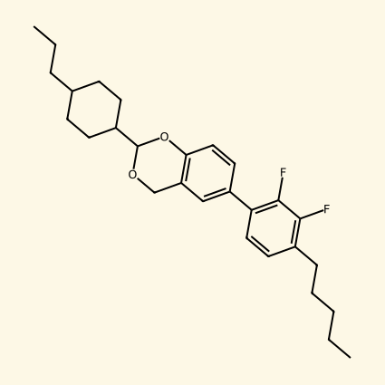 CCCCCc1ccc(-c2ccc3c(c2)COC(C2CCC(CCC)CC2)O3)c(F)c1F